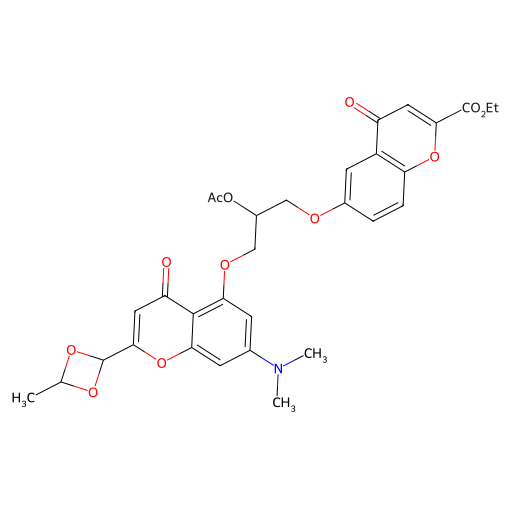 CCOC(=O)c1cc(=O)c2cc(OCC(COc3cc(N(C)C)cc4oc(C5OC(C)O5)cc(=O)c34)OC(C)=O)ccc2o1